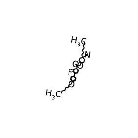 CCCCCCCOc1ccc(-c2ccc(C(=O)OC3CCC(C#N)(CCCCCCC)CC3)cc2F)cc1